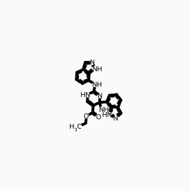 CCOC(=O)C1=CNC(Nc2cccc3cn[nH]c23)=NC1(N)c1cccc2cn[nH]c12